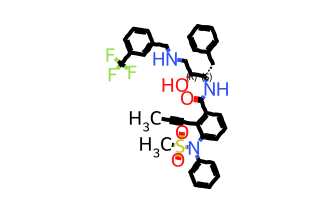 CC#Cc1c(C(=O)N[C@@H](Cc2ccccc2)[C@H](O)CNCc2cccc(C(F)(F)F)c2)cccc1N(c1ccccc1)S(C)(=O)=O